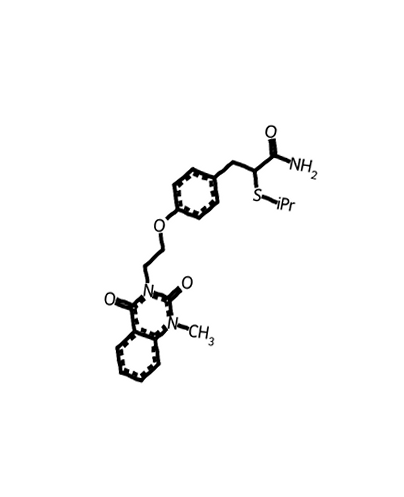 CC(C)SC(Cc1ccc(OCCn2c(=O)c3ccccc3n(C)c2=O)cc1)C(N)=O